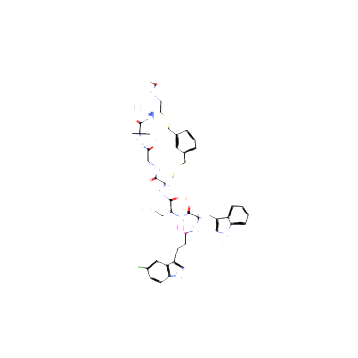 C=NC(=O)C(C)(C)NC(=O)CNC(=O)[C@H](CSCc1cccc(CSCCNC(=O)CCC)c1)NC(=O)[C@H](CC(C)C)NC(=O)[C@H](Cc1c[nH]c2ccccc12)NC(=O)CCc1c[nH]c2ccc(Cl)cc12